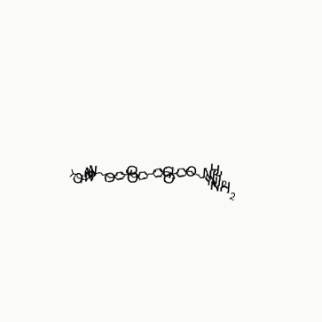 CC(C)COC(C)(C)Cn1cc(CCCOc2ccc(C(=O)Oc3ccc(-c4ccc(OC(=O)c5ccc(OCCC/C(N)=C/NN)cc5)cc4)cc3)cc2)nn1